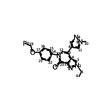 CCn1cc2c(-c3cnn(C)c3)cn(-c3ccc(OCF)cc3)c(=O)c2n1